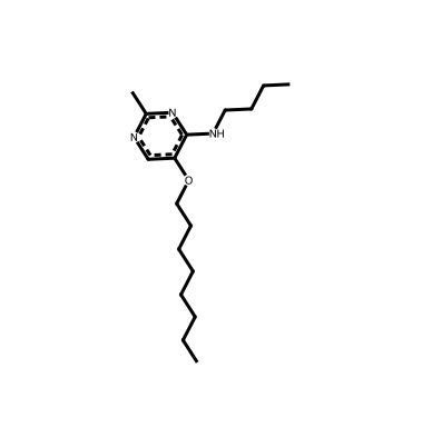 CCCCCCCCOc1cnc(C)nc1NCCCC